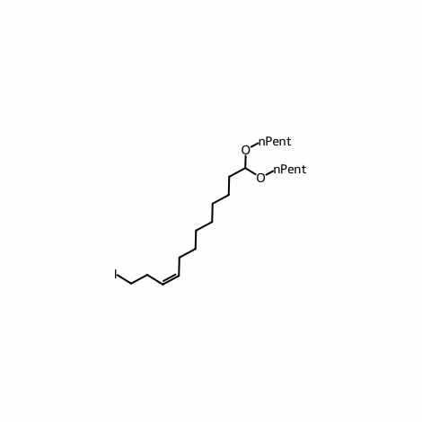 CCCCCOC(CCCCCCC/C=C\CCI)OCCCCC